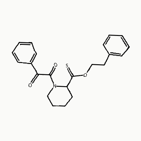 O=C(C(=O)N1CCCCC1C(=S)OCCc1ccccc1)c1ccccc1